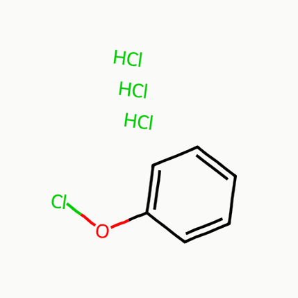 Cl.Cl.Cl.ClOc1ccccc1